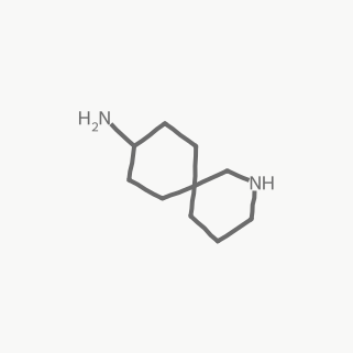 NC1CCC2(CCCNC2)CC1